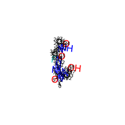 C=CCn1c(=O)c2cnc(N3CCN(C(=O)c4cc(Cc5n[nH]c(=O)c6ccccc56)ccc4F)CC3)nc2n1-c1cccc(C(C)(C)O)n1